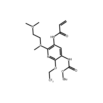 C=CC(=O)Nc1cc(NC(=O)OC(C)(C)C)c(OCC(F)(F)F)nc1N(C)CCN(C)C